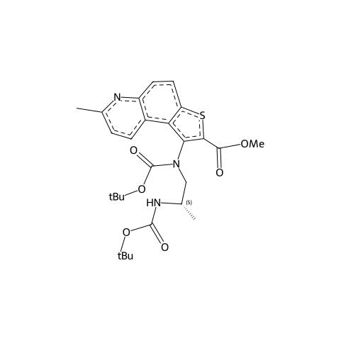 COC(=O)c1sc2ccc3nc(C)ccc3c2c1N(C[C@H](C)NC(=O)OC(C)(C)C)C(=O)OC(C)(C)C